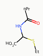 CCCC(=O)NC(SCC)C(=O)O